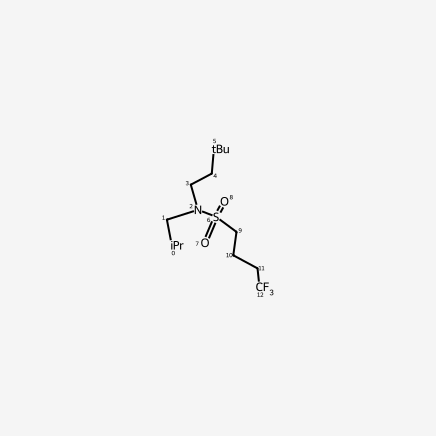 CC(C)CN(CCC(C)(C)C)S(=O)(=O)CCCC(F)(F)F